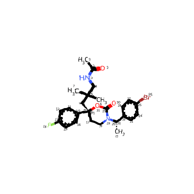 CC(=O)NCC(C)(C)C[C@]1(c2ccc(F)cc2)CCN([C@@H](C)c2ccc(Br)cc2)C(=O)O1